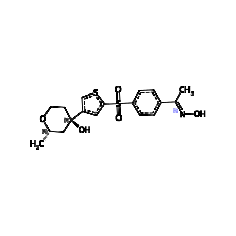 C/C(=N\O)c1ccc(S(=O)(=O)c2cc([C@@]3(O)CCO[C@@H](C)C3)cs2)cc1